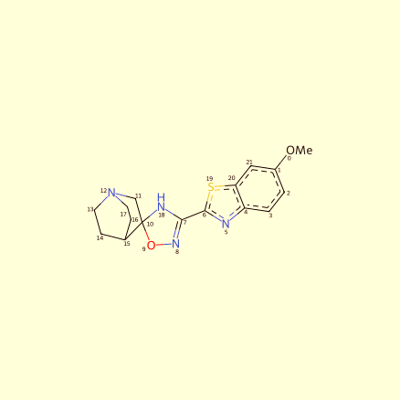 COc1ccc2nc(C3=NOC4(CN5CCC4CC5)N3)sc2c1